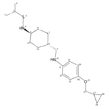 CC(C)SN[C@H]1CC[C@H](CNc2ccc(OCC3CC3)cc2)CC1